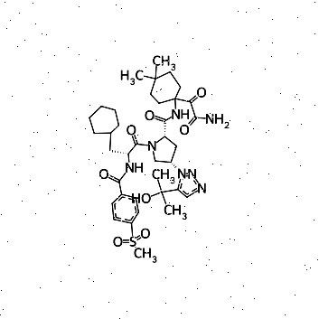 CC1(C)CCC(NC(=O)[C@@H]2C[C@H](n3nncc3C(C)(C)O)CN2C(=O)[C@@H](CC2CCCCC2)NC(=O)c2ccc(S(C)(=O)=O)cc2)(C(=O)C(N)=O)CC1